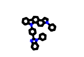 c1ccc(-n2ccc3c4ccc5c6ccccc6n(-c6ccc(-c7nc8ccccc8n7-c7ccccc7)cc6)c5c4ccc32)cc1